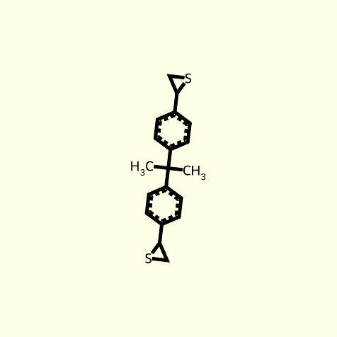 CC(C)(c1ccc(C2CS2)cc1)c1ccc(C2CS2)cc1